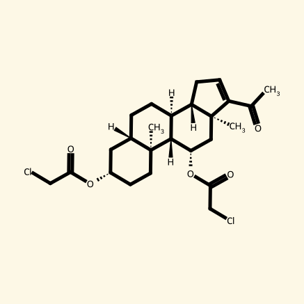 CC(=O)C1=CC[C@H]2[C@@H]3CC[C@H]4C[C@@H](OC(=O)CCl)CC[C@]4(C)[C@H]3[C@@H](OC(=O)CCl)C[C@]12C